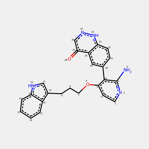 Nc1nccc(OCCCc2c[nH]c3ccccc23)c1-c1ccc2[nH]ncc(=O)c2c1